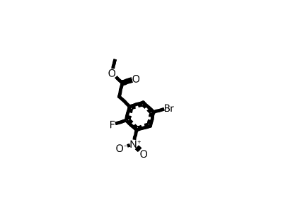 COC(=O)Cc1cc(Br)cc([N+](=O)[O-])c1F